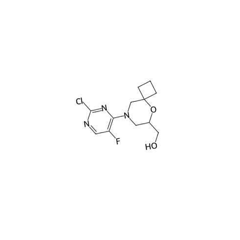 OCC1CN(c2nc(Cl)ncc2F)CC2(CCC2)O1